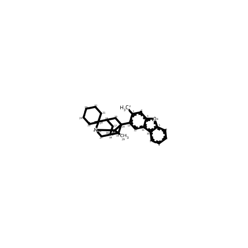 Cc1cc2oc3ccccc3c2cc1C12CC3CC(C1)C1(CCCCC1)N(C3)[C@@H]2C